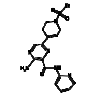 CCS(=O)(=O)N1CC=C(c2cnc(N)c(C(=O)Nc3ccccn3)n2)CC1